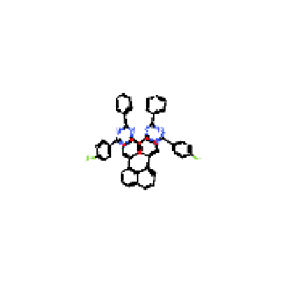 Fc1ccc(-c2nc(-c3ccccc3)nc(-c3cccc(-c4cccc5cccc(-c6cccc(-c7nc(-c8ccccc8)nc(-c8ccc(F)cc8)n7)c6)c45)c3)n2)cc1